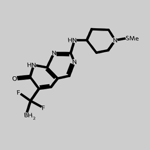 BC(F)(F)c1cc2cnc(NC3CCN(SC)CC3)nc2[nH]c1=O